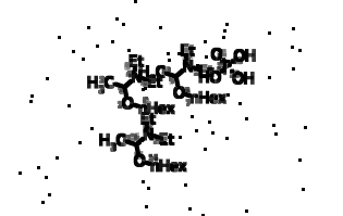 CCCCCCOC(C)N(CC)CC.CCCCCCOC(C)N(CC)CC.CCCCCCOC(C)N(CC)CC.O=P(O)(O)O